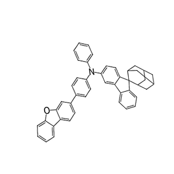 c1ccc(N(c2ccc(-c3ccc4c(c3)oc3ccccc34)cc2)c2ccc3c(c2)-c2ccccc2C32C3CC4CC(C3)CC2C4)cc1